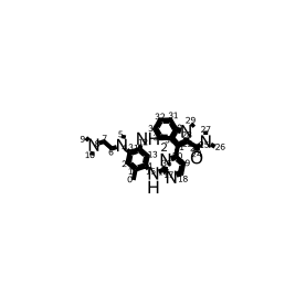 Cc1cc(N(C)CCN(C)C)c(N)cc1Nc1nccc(-c2c(C(=O)N(C)C)n(C)c3ccccc23)n1